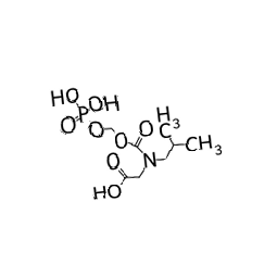 CC(C)CN(CC(=O)O)C(=O)OCOP(=O)(O)O